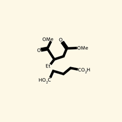 CCC(CC(=O)OC)C(=O)OC.O=C(O)CCCC(=O)O